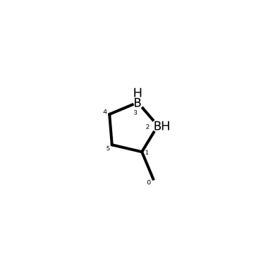 CC1BBCC1